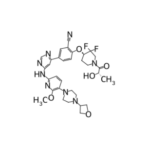 COc1nc(Nc2cc(-c3ccc(O[C@@H]4CCN(C(=O)[C@H](C)O)CC4(F)F)c(C#N)c3)ncn2)ccc1N1CCN(C2COC2)CC1